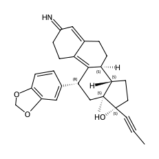 CC#C[C@]1(O)CC[C@H]2[C@@H]3CCC4=CC(=N)CCC4=C3[C@@H](c3ccc4c(c3)OCO4)C[C@@]21C